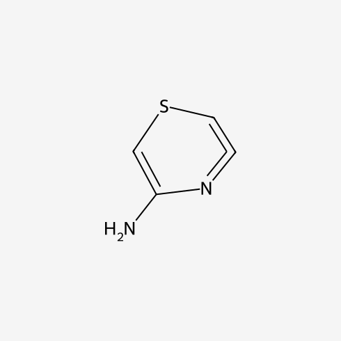 NC1=CSC=C=N1